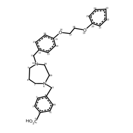 O=C(O)c1ccc(CN2CCCN(Cc3ccc(OCCOc4ccccc4)cc3)CC2)cc1